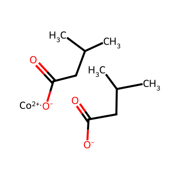 CC(C)CC(=O)[O-].CC(C)CC(=O)[O-].[Co+2]